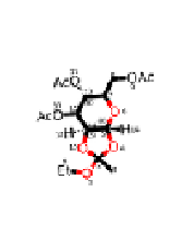 CCOC1(C)O[C@H]2OC(COC(C)=O)[C@@H](OC(C)=O)C(OC(C)=O)[C@@H]2O1